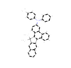 CC1(C)c2cc3ccccc3cc2-c2c1c1ccc(N(c3ccccc3)c3ccc(C#N)cc3)cc1c1ccccc21